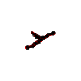 C=CC(=O)OCCCCCCOc1ccc(OCC2CCC(OC(=O)c3ccc4c(c3)nc(Oc3ccc(C(=O)Oc5ccc(OCCCCCC)cc5)cc3)c3cc(C(=O)OC5CCC(COc6ccc(OCCCCCCOC(=O)C=C)cc6)CC5)ccc34)CC2)cc1